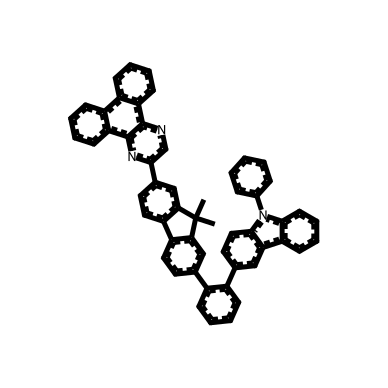 CC1(C)c2cc(-c3cnc4c5ccccc5c5ccccc5c4n3)ccc2-c2ccc(-c3ccccc3-c3ccc4c(c3)c3ccccc3n4-c3ccccc3)cc21